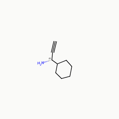 C#C[C@@H](N)C1CCCCC1